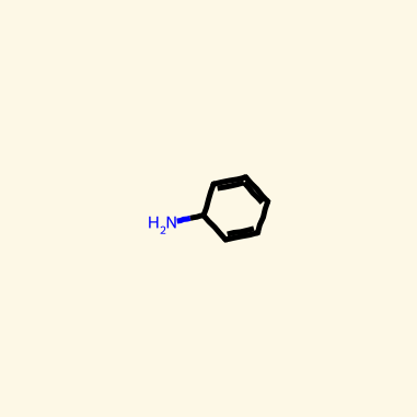 NC1C=C=CC=C1